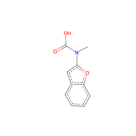 CN(C(=O)O)c1cc2ccccc2o1